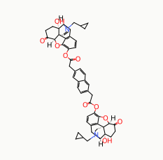 O=C(Cc1ccc2cc(CC(=O)Oc3ccc4c5c3O[C@H]3C(=O)CC[C@@]6(O)[C@@H](C4)N(CC4CC4)CC[C@]536)ccc2c1)Oc1ccc2c3c1O[C@H]1C(=O)CC[C@@]4(O)[C@@H](C2)N(CC2CC2)C=C[C@]314